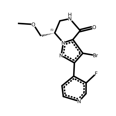 COC[C@@H]1CNC(=O)c2c(Br)c(-c3ccncc3F)nn21